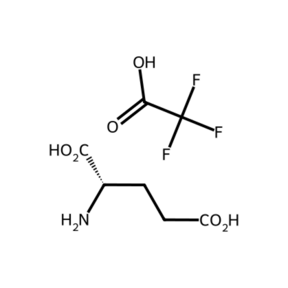 N[C@@H](CCC(=O)O)C(=O)O.O=C(O)C(F)(F)F